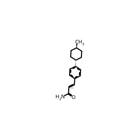 C[C@H]1CC[C@H](c2ccc(/C=C/C(N)=O)cc2)CC1